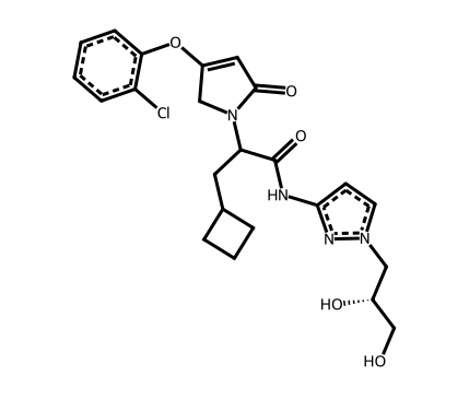 O=C(Nc1ccn(C[C@@H](O)CO)n1)C(CC1CCC1)N1CC(Oc2ccccc2Cl)=CC1=O